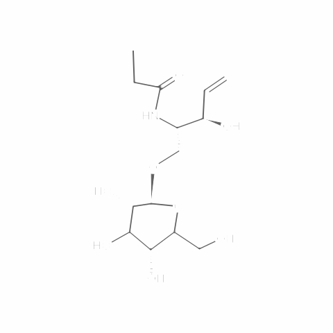 C=C[C@@H](O)[C@H](CO[C@H]1OC(CO)[C@H](O)C(O)[C@@H]1O)NC(=O)CC